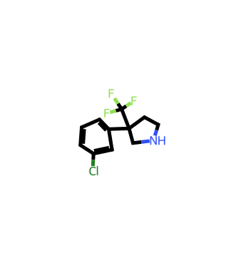 FC(F)(F)C1(c2cccc(Cl)c2)CCNC1